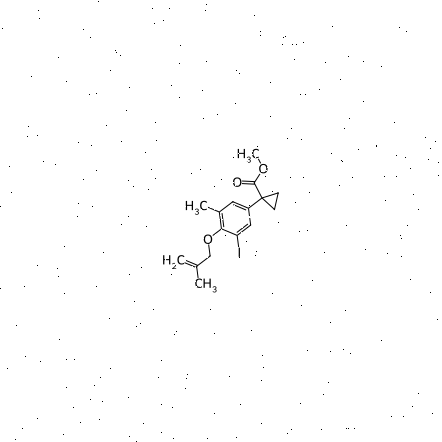 C=C(C)COc1c(C)cc(C2(C(=O)OC)CC2)cc1I